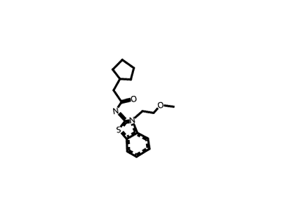 COCCn1c(=NC(=O)CC2CCCC2)sc2ccccc21